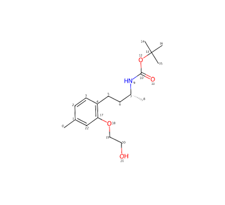 Cc1ccc(CC[C@@H](C)NC(=O)OC(C)(C)C)c(OCCO)c1